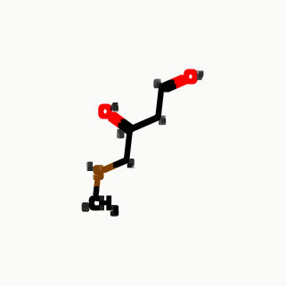 CSCC(=O)CC=O